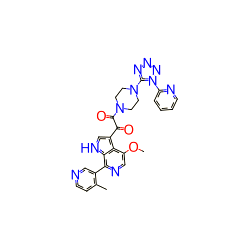 COc1cnc(-c2cnccc2C)c2[nH]cc(C(=O)C(=O)N3CCN(c4nnnn4-c4ccccn4)CC3)c12